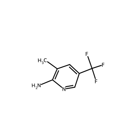 Cc1cc(C(F)(F)F)cnc1N